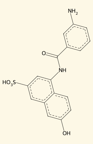 Nc1cccc(C(=O)Nc2cc(S(=O)(=O)O)cc3cc(O)ccc23)c1